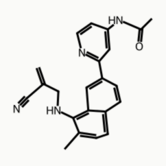 C=C(C#N)CNc1c(C)ccc2ccc(-c3cc(NC(C)=O)ccn3)cc12